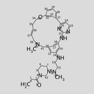 C=CC(=O)N1CCCN(N(C)CCNc2cc3cc(c2)Nc2nccc(n2)-c2cccc(c2)OCC/C=C/CN(C)C3)C1